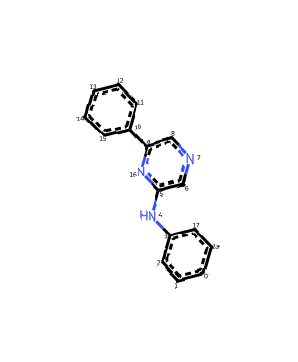 c1ccc(Nc2cncc(-c3ccccc3)n2)cc1